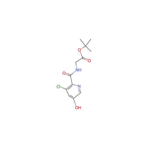 CC(C)(C)OC(=O)CNC(=O)c1ncc(O)cc1Cl